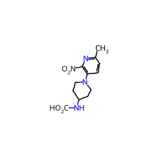 Cc1ccc(N2CCC(NC(=O)O)CC2)c([N+](=O)[O-])n1